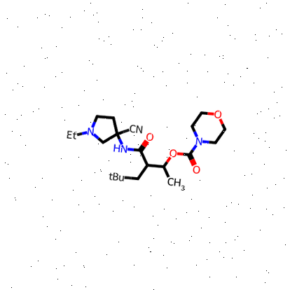 CCN1CCC(C#N)(NC(=O)C(CC(C)(C)C)C(C)OC(=O)N2CCOCC2)C1